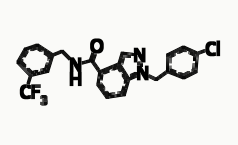 O=C(NCc1cccc(C(F)(F)F)c1)c1cccc2c1cnn2Cc1ccc(Cl)cc1